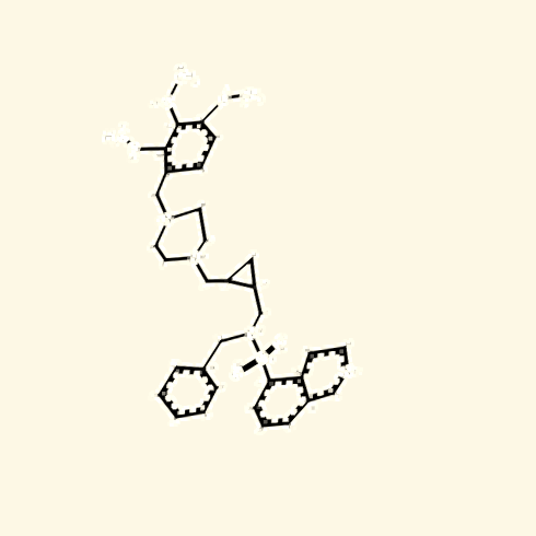 COc1ccc(CN2CCN(CC3CC3CN(Cc3ccccc3)S(=O)(=O)c3cccc4cnccc34)CC2)c(OC)c1OC